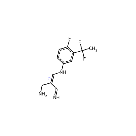 CC(F)(F)c1cc(N/C=C(/CN)N=N)ccc1F